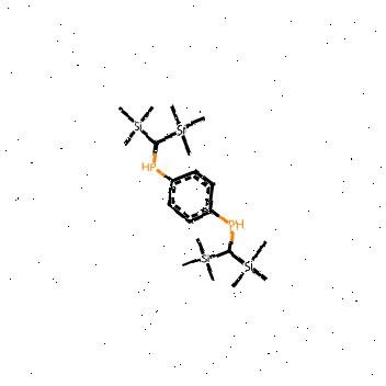 C[Si](C)(C)C(Pc1ccc(PC([Si](C)(C)C)[Si](C)(C)C)cc1)[Si](C)(C)C